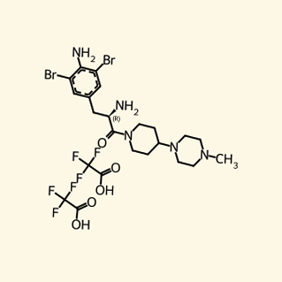 CN1CCN(C2CCN(C(=O)[C@H](N)Cc3cc(Br)c(N)c(Br)c3)CC2)CC1.O=C(O)C(F)(F)F.O=C(O)C(F)(F)F